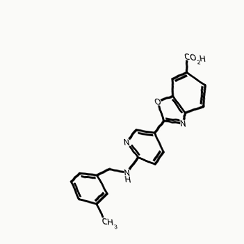 Cc1cccc(CNc2ccc(-c3nc4ccc(C(=O)O)cc4o3)cn2)c1